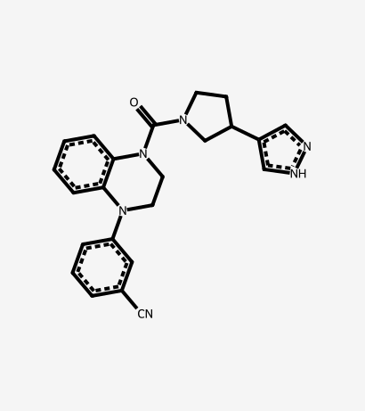 N#Cc1cccc(N2CCN(C(=O)N3CCC(c4cn[nH]c4)C3)c3ccccc32)c1